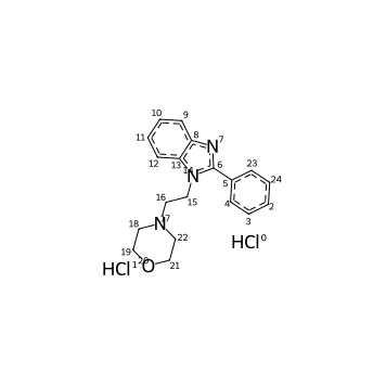 Cl.Cl.c1ccc(-c2nc3ccccc3n2CCN2CCOCC2)cc1